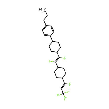 CCCc1ccc(C2CCC(/C(F)=C(\F)C3CCC(/C(F)=C/C(F)(F)F)CC3)CC2)cc1